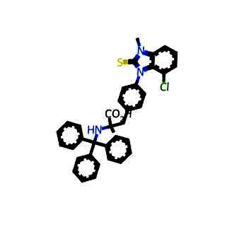 Cn1c(=S)n(-c2ccc(CC(C)(NC(c3ccccc3)(c3ccccc3)c3ccccc3)C(=O)O)cc2)c2c(Cl)cccc21